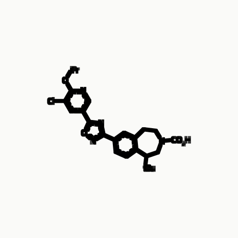 CC(C)Oc1ncc(-c2nc(-c3ccc4c(c3)CCN(C(=O)O)CC4C(C)(C)C)no2)cc1Cl